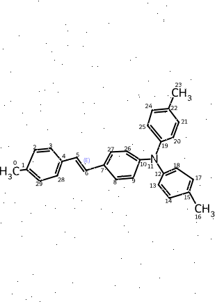 Cc1ccc(/C=C/c2ccc(N(c3ccc(C)cc3)c3ccc(C)cc3)cc2)cc1